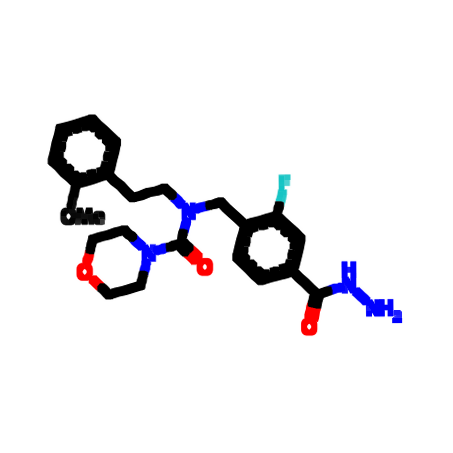 COc1ccccc1CCN(Cc1ccc(C(=O)NN)cc1F)C(=O)N1CCOCC1